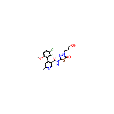 COc1ccc(Cl)c(F)c1-c1cc(C)ncc1C(=O)Nc1nn(CCCO)c(=O)s1